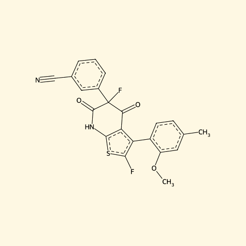 COc1cc(C)ccc1-c1c(F)sc2c1C(=O)C(F)(c1cccc(C#N)c1)C(=O)N2